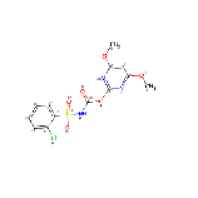 COc1cc(OC)nc(OC(=O)NS(=O)(=O)c2ccccc2Cl)n1